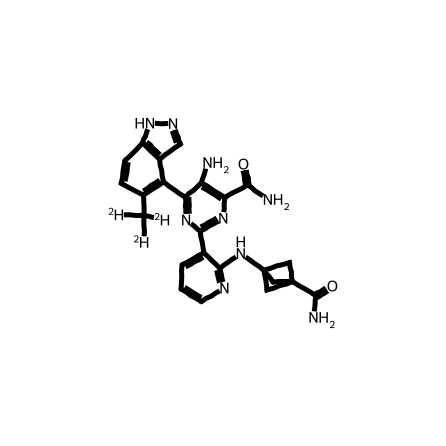 [2H]C([2H])([2H])c1ccc2[nH]ncc2c1-c1nc(-c2cccnc2NC23CC(C(N)=O)(C2)C3)nc(C(N)=O)c1N